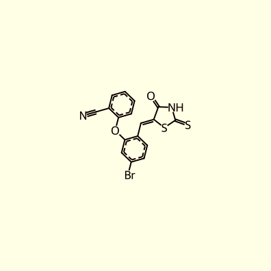 N#Cc1ccccc1Oc1cc(Br)ccc1/C=C1\SC(=S)NC1=O